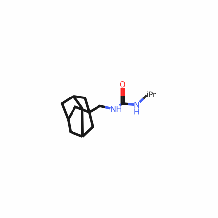 CC(C)NC(=O)NCC12CC3CC(CC(C3)C1)C2